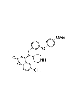 COc1ccc(Oc2cccc(CN(c3cc(=O)oc4ccc(C)cc34)C3CCNCC3)c2)cc1